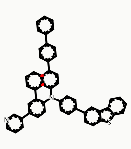 c1ccc(-c2ccc(-c3ccc(N(c4ccc(-c5ccc6sc7ccccc7c6c5)cc4)c4ccc(-c5cccnc5)cc4-c4ccccc4)cc3)cc2)cc1